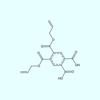 C=CCOC(=O)c1cc(C(=O)O)c(C(=O)O)cc1C(=O)OCC=C